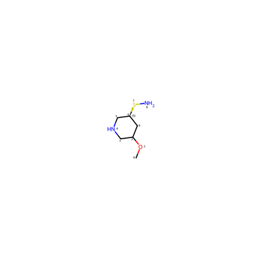 COC1CNC[C@@H](SN)C1